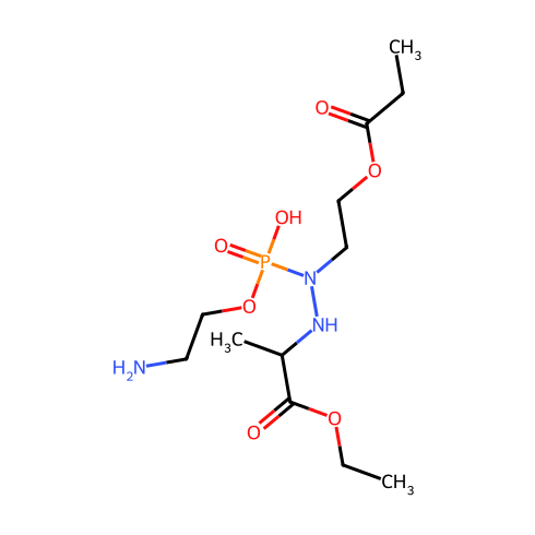 CCOC(=O)C(C)NN(CCOC(=O)CC)P(=O)(O)OCCN